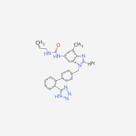 C=CCNC(=O)Nc1cc(C)c2nc(CCC)n(Cc3ccc(-c4ccccc4-c4nnn[nH]4)cc3)c2c1